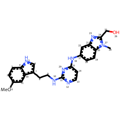 COc1ccc2[nH]cc(CCNc3nccc(Nc4ccc5c(c4)nc(CO)n5C)n3)c2c1